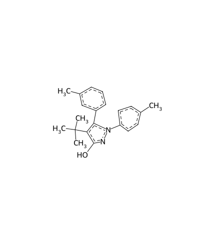 Cc1ccc(-n2nc(O)c(C(C)(C)C)c2-c2cccc(C)c2)cc1